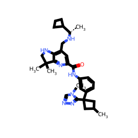 CC1CC(c2cccc(NC(=O)c3cc(CN[C@@H](C)C4CCC4)c4c(n3)C(C)(C)CN4)c2)(c2nncn2C)C1